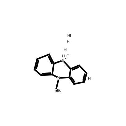 CCCCN1c2ccccc2Sc2ccccc21.I.I.I.I.O